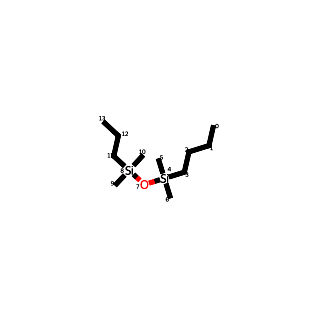 CCCC[Si](C)(C)O[Si](C)(C)CCC